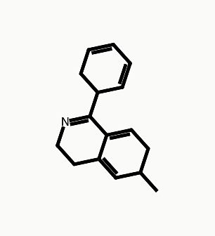 CC1C=C2CCN=C(C3C=CC=CC3)C2=CC1